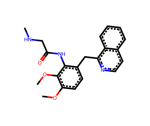 CNCC(=O)Nc1c(Cc2nccc3ccccc23)ccc(OC)c1OC